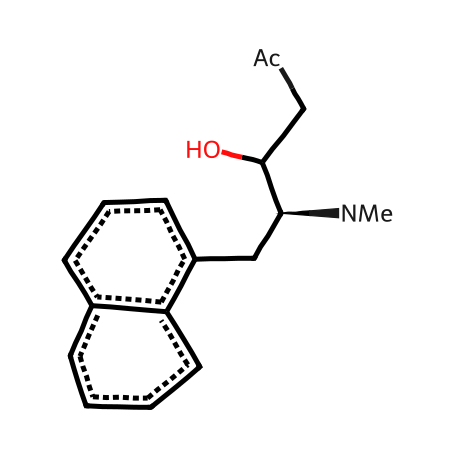 CN[C@@H](Cc1cccc2ccccc12)C(O)CC(C)=O